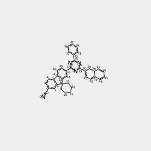 N#Cc1ccc2c(c1)C1(CCCCC1)c1cc(-c3nc(C4=CC=C5C=CC=CC5C4)nc(-c4ccccc4)n3)ccc1-2